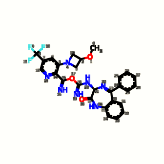 COC1CN(c2cc(C(F)(F)F)cnc2C(=N)OC(=N)N[C@H]2N=C(c3ccccc3)c3ccccc3NC2=O)C1